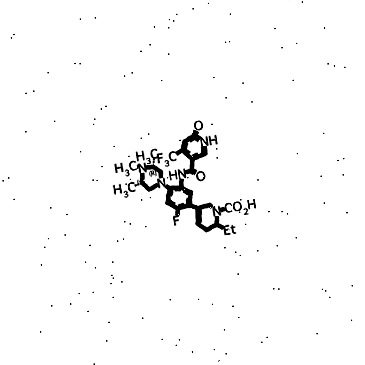 CCC1CC=C(c2cc(NC(=O)c3c[nH]c(=O)cc3C(F)(F)F)c(N3C[C@@H](C)N(C)[C@@H](C)C3)cc2F)CN1C(=O)O